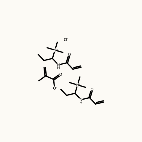 C=C(C)C(=O)[O-].C=CC(=O)NC(CC)[N+](C)(C)C.C=CC(=O)NC(CC)[N+](C)(C)C.[Cl-]